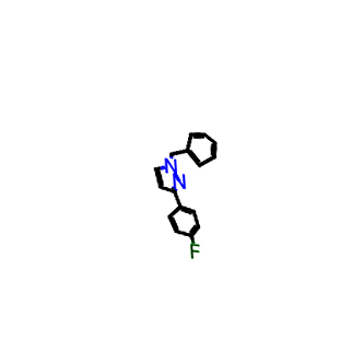 Fc1ccc(-c2ccn(Cc3ccccc3)n2)cc1